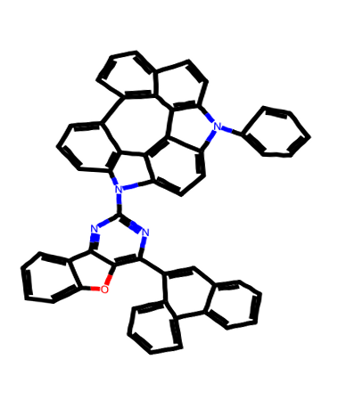 c1ccc(-n2c3ccc4cccc5c4c3c3c4c6c-5cccc6n(-c5nc(-c6cc7ccccc7c7ccccc67)c6oc7ccccc7c6n5)c4ccc32)cc1